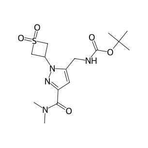 CN(C)C(=O)c1cc(CNC(=O)OC(C)(C)C)n(C2CS(=O)(=O)C2)n1